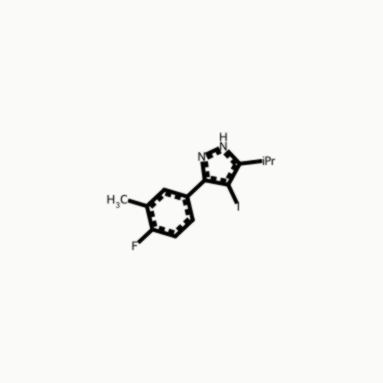 Cc1cc(-c2n[nH]c(C(C)C)c2I)ccc1F